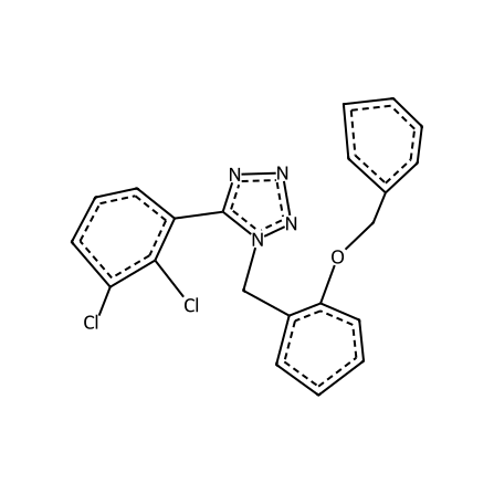 Clc1cccc(-c2nnnn2Cc2ccccc2OCc2ccccc2)c1Cl